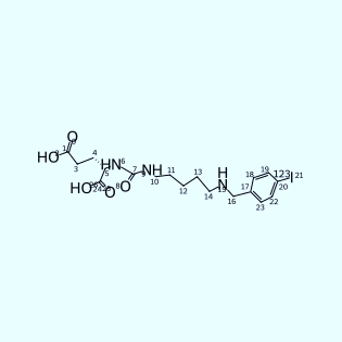 O=C(O)CC[C@H](NC(=O)NCCCCCNCc1ccc([123I])cc1)C(=O)O